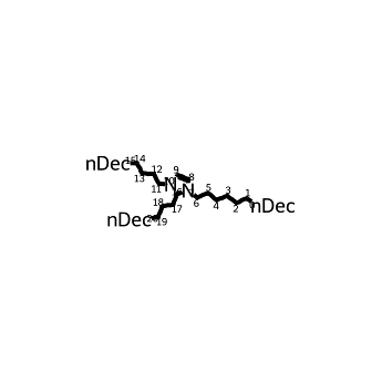 CCCCCCCCCCCCCCCCN1C=CN(CCCCCCCCCCCCCC)C1CCCCCCCCCCCCC